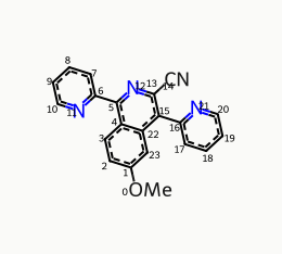 COc1ccc2c(-c3ccccn3)nc(C#N)c(-c3ccccn3)c2c1